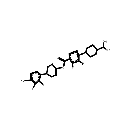 CCCC(O)C1CCC(c2ccc(C(=O)OC3CCC(c4ccc(O)c(F)c4F)CC3)c(F)c2F)CC1